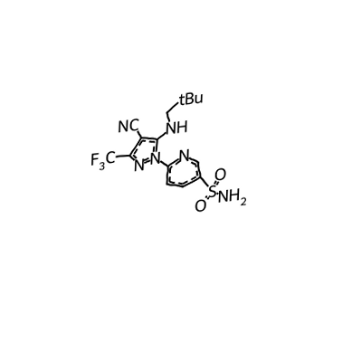 CC(C)(C)CNc1c(C#N)c(C(F)(F)F)nn1-c1ccc(S(N)(=O)=O)cn1